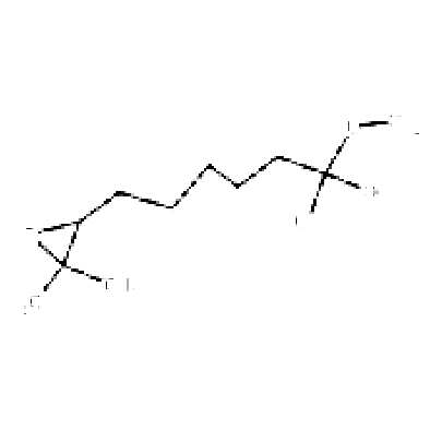 COC(O)(Cl)CCCCCC1OC1(C)C